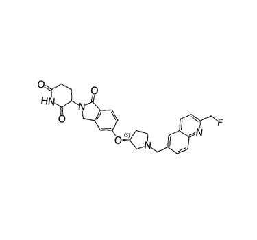 O=C1CCC(N2Cc3cc(O[C@H]4CCN(Cc5ccc6nc(CF)ccc6c5)C4)ccc3C2=O)C(=O)N1